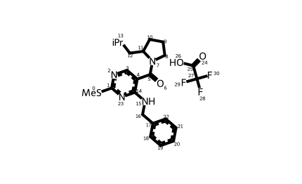 CSc1ncc(C(=O)N2CCCC2CC(C)C)c(NCc2ccccc2)n1.O=C(O)C(F)(F)F